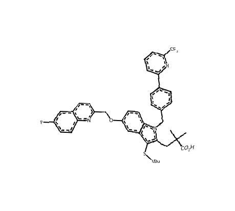 CC(C)(C)Sc1c(CC(C)(C)C(=O)O)n(Cc2ccc(-c3cccc(C(F)(F)F)n3)cc2)c2ccc(OCc3ccc4cc(F)ccc4n3)cc12